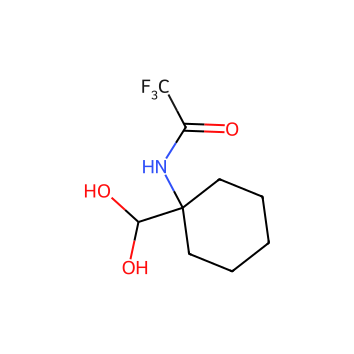 O=C(NC1(C(O)O)CCCCC1)C(F)(F)F